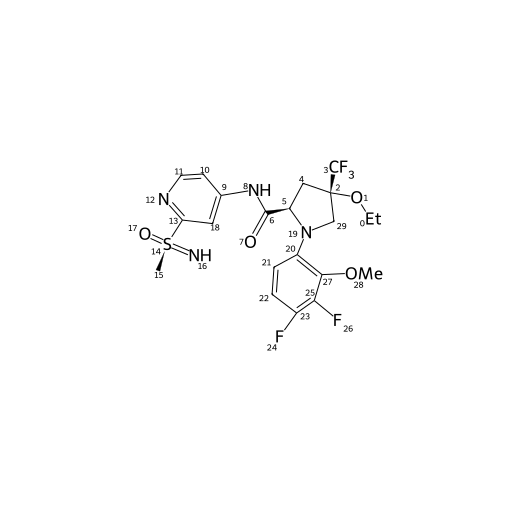 CCO[C@@]1(C(F)(F)F)C[C@H](C(=O)Nc2ccnc([S@](C)(=N)=O)c2)N(c2ccc(F)c(F)c2OC)C1